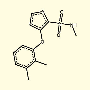 CNS(=O)(=O)c1sccc1Oc1cccc(C)c1C